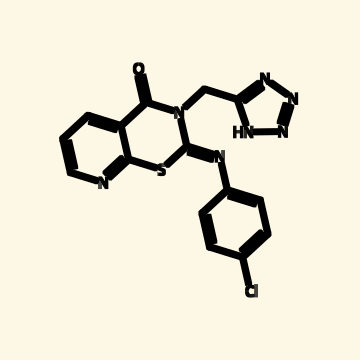 O=c1c2cccnc2sc(=Nc2ccc(Cl)cc2)n1Cc1nnn[nH]1